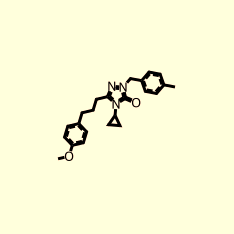 COc1ccc(CCCc2nn(Cc3ccc(C)cc3)c(=O)n2C2CC2)cc1